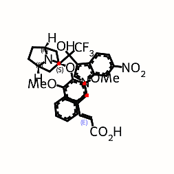 COc1cc(/C=C/C(=O)O)cc(OC)c1O[C@@H]1C[C@H]2CC[C@@H](C1)N2CC(O)(c1cn(Cc2ccccc2)c2cc([N+](=O)[O-])ccc12)C(F)(F)F